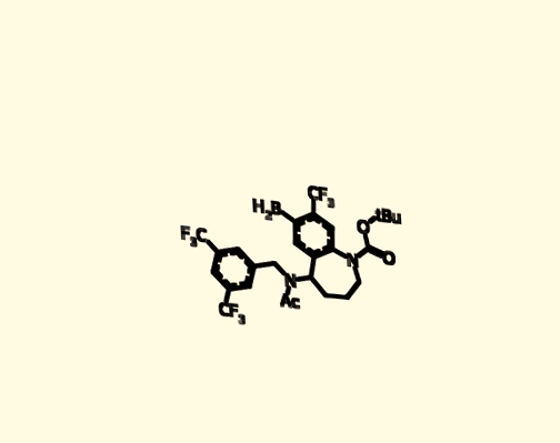 Bc1cc2c(cc1C(F)(F)F)N(C(=O)OC(C)(C)C)CCCC2N(Cc1cc(C(F)(F)F)cc(C(F)(F)F)c1)C(C)=O